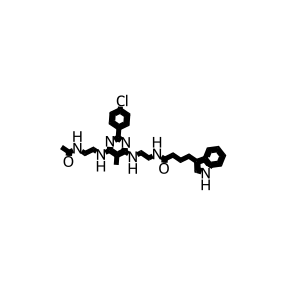 CC(=O)NCCNc1nc(-c2ccc(Cl)cc2)nc(NCCNC(=O)CCCc2c[nH]c3ccccc23)c1C